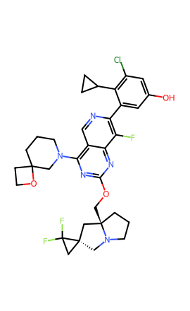 Oc1cc(Cl)c(C2CC2)c(-c2ncc3c(N4CCCC5(CCO5)C4)nc(OC[C@@]45CCCN4C[C@@]4(CC4(F)F)C5)nc3c2F)c1